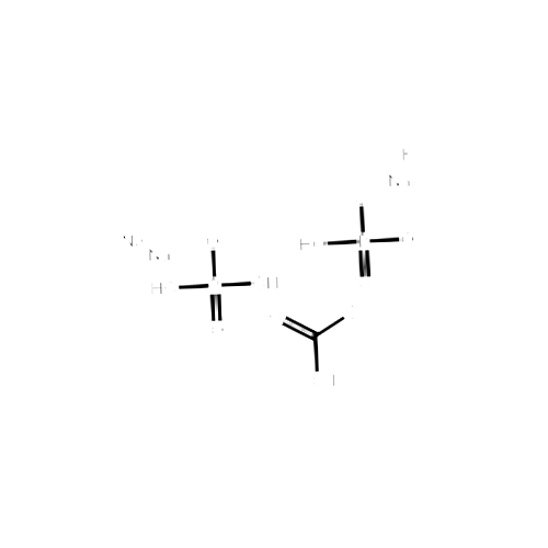 CC(=O)[O-].O=P([O-])(O)O.O=P([O-])([O-])O.[K+].[Na+].[Na+].[Na+]